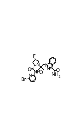 NC(=O)c1nn(CC2(N3C[C@H](F)C[C@H]3C(=O)Nc3cccc(Br)n3)COC2)c2ccccc12